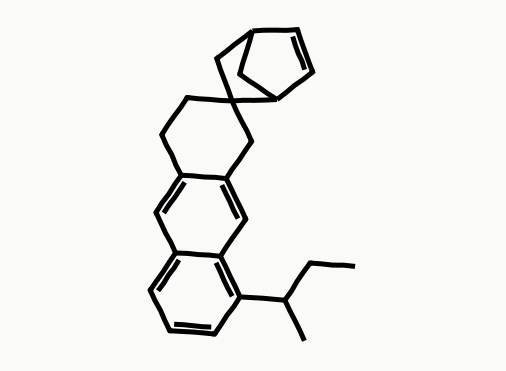 CCC(C)c1cccc2cc3c(cc12)CC1(CC3)CC2C=CC1C2